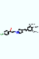 COc1cc(C=Cc2ccc(NC=CC(=O)c3ccc(Cl)cc3)cc2)cc(OC)c1OC